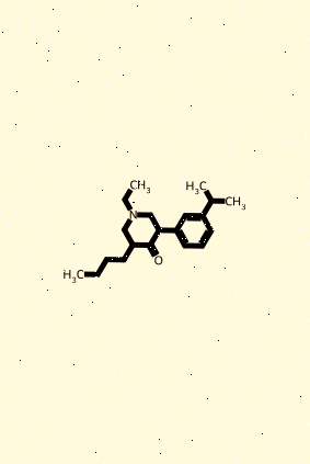 CCCCC1CN(CC)CC(c2cccc(C(C)C)c2)C1=O